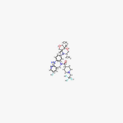 C[C@H]1OC[C@@H]2[C@H]1OC[C@H](C)N2c1ccc2c(c1)N(C(=O)C1CCN(CC(F)(F)F)CC1)Cc1cc(F)cnc1N2